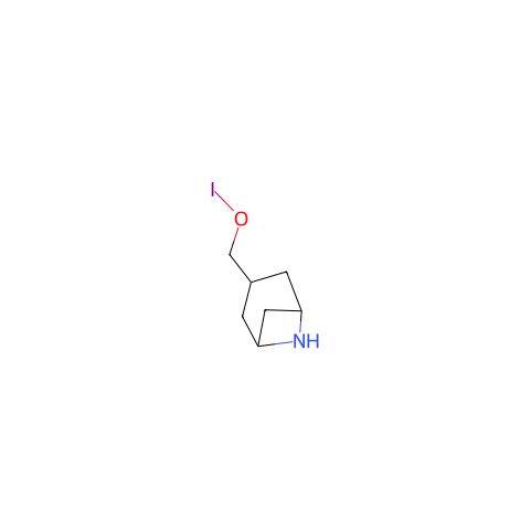 IOCC1CC2CC(C1)N2